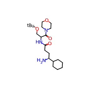 CC(C)(C)OCC(NC(=O)CC[C@H](N)C1CCCCC1)C(=O)N1CCOCC1